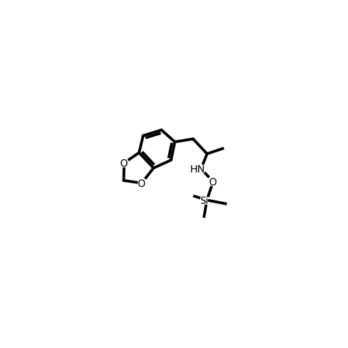 CC(Cc1ccc2c(c1)OCO2)NO[Si](C)(C)C